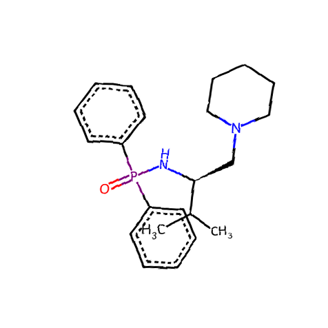 CC(C)[C@H](CN1CCCCC1)NP(=O)(c1ccccc1)c1ccccc1